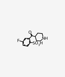 O=C(c1cc(F)ccc1S(=O)(=O)O)C1CCNCC1